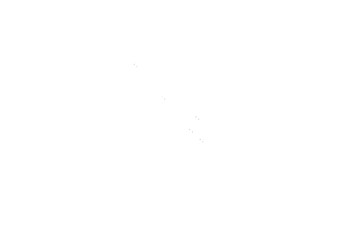 O=C(c1ccc(F)cc1-n1nccn1)N1CC2CNCC2C1